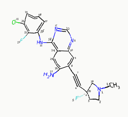 CN1CC[C@@](F)(C#Cc2cc3ncnc(Nc4cccc(Cl)c4F)c3cc2N)C1